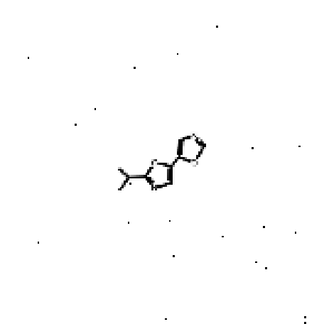 CC(C)c1ncc(-c2cnco2)o1